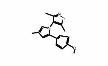 COc1ccc(-c2cc(C)cn2-c2c(C)noc2C)cc1